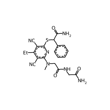 CCc1c(C#N)c(SC(C(N)=O)c2ccccc2)nc(N(C)CC(=O)NCC(N)=O)c1C#N